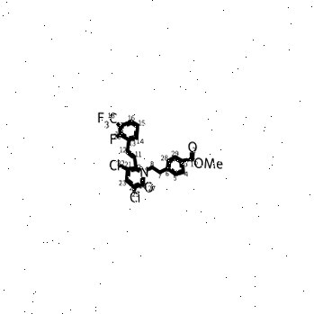 COC(=O)c1ccc(CCn2c(/C=C/c3cccc(C(F)(F)F)c3F)c(Cl)cc(Cl)c2=O)cc1